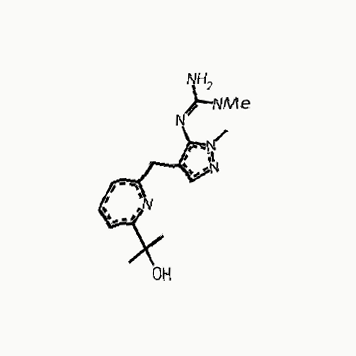 CN/C(N)=N\c1c(Cc2cccc(C(C)(C)O)n2)cnn1C